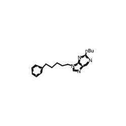 CCCCc1n[c]c2ncn(CCCCCc3ccccc3)c2n1